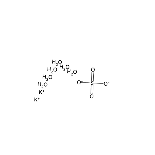 O.O.O.O.O.O.O=S(=O)([O-])[O-].[K+].[K+]